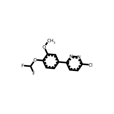 COc1cc(-c2ccc(Cl)nn2)ccc1OC(F)F